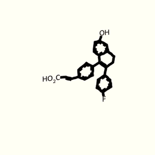 O=C(O)C=Cc1ccc(C2=C(c3ccc(F)cc3)CCc3cc(O)ccc32)cc1